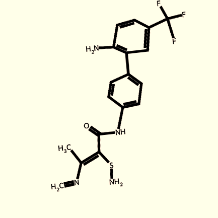 C=N/C(C)=C(\SN)C(=O)Nc1ccc(-c2cc(C(F)(F)F)ccc2N)cc1